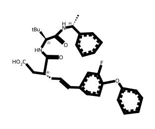 C[C@@H](NC(=O)[C@@H](NC(=O)[C@H](CC=Cc1ccc(Oc2ccccc2)c(F)c1)CC(=O)O)C(C)(C)C)c1ccccc1